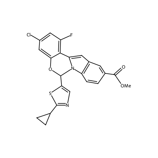 COC(=O)c1ccc2c(c1)cc1n2C(c2cnc(C3CC3)s2)Oc2cc(Cl)cc(F)c2-1